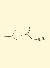 CC1CC(C(=O)CC#N)C1